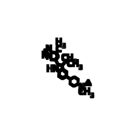 Cc1cc(-c2[nH]c3ccc(C4CCC(N(C)C5CC5)CC4)cc3c2C(C)C)cn2ncnc12